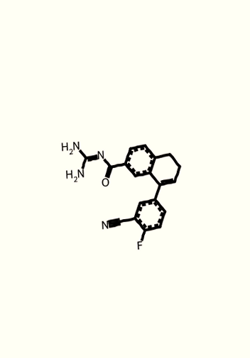 N#Cc1cc(C2=CCCc3ccc(C(=O)N=C(N)N)cc32)ccc1F